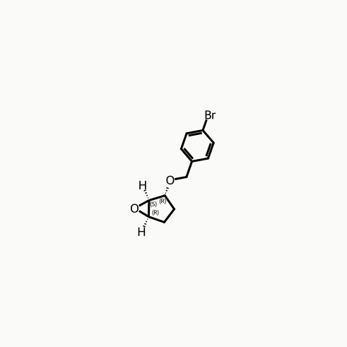 Brc1ccc(CO[C@@H]2CC[C@H]3O[C@@H]23)cc1